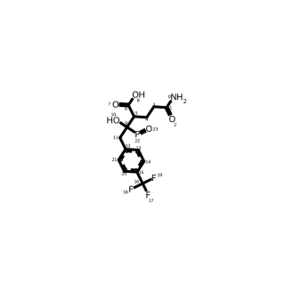 NC(=O)CCC(C(=O)O)C(O)(Cc1ccc(C(F)(F)F)cc1)P=O